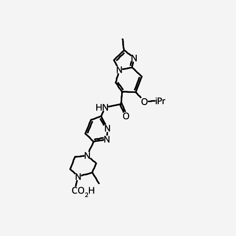 Cc1cn2cc(C(=O)Nc3ccc(N4CCN(C(=O)O)C(C)C4)nn3)c(OC(C)C)cc2n1